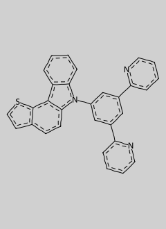 c1ccc(-c2cc(-c3ccccn3)cc(-n3c4ccccc4c4c5sccc5ccc43)c2)nc1